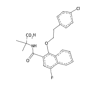 CC(C)(NC(=O)c1cc(F)c2ccccc2c1OCCc1ccc(Cl)cc1)C(=O)O